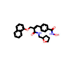 O=C(NCC1CCCO1)C(=Cc1ccc(C(=O)NO)cc1)COc1cccc2ccccc12